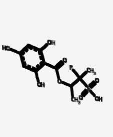 CC(OC(=O)c1c(O)cc(O)cc1O)C(C)(F)S(=O)(=O)O